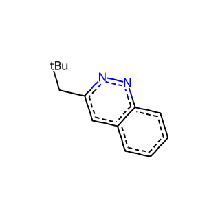 CC(C)(C)Cc1cc2ccccc2nn1